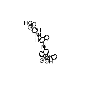 O=S(=O)(O)c1ccc(NNc2ccc(/N=N/c3ccc(Nc4ccccc4)c4c(S(=O)(=O)O)cccc34)c3ccccc23)cc1